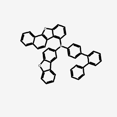 c1ccc(-c2ccccc2-c2ccc(N(c3ccc4oc5ccccc5c4c3)c3cccc4oc5c6ccccc6ccc5c34)cc2)cc1